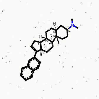 CN(C)[C@H]1CC[C@@]2(C)[C@@H](CC[C@@H]3[C@@H]2CC[C@]2(C)C(c4ccc5ccccc5c4)=CC[C@@H]32)C1